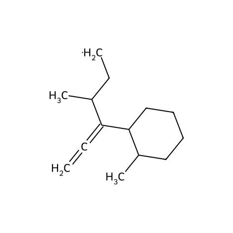 [CH2]CC(C)C(=C=C)C1CCCCC1C